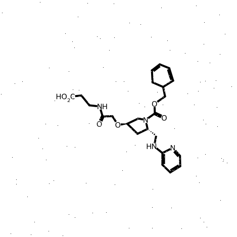 O=C(O)CCNC(=O)CO[C@@H]1C[C@@H](CNc2ccccn2)N(C(=O)OCC2C=CC=CC2)C1